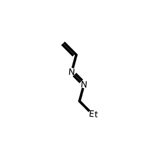 C=CN=NCCC